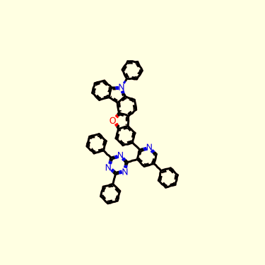 c1ccc(-c2cnc(-c3ccc4oc5c(ccc6c5c5ccccc5n6-c5ccccc5)c4c3)c(-c3nc(-c4ccccc4)nc(-c4ccccc4)n3)c2)cc1